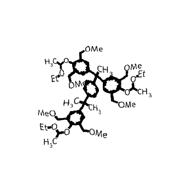 CCOC(C)Oc1c(COC)cc(C(C)(C)c2ccc(C(C)(c3cc(COC)c(OC(C)OCC)c(COC)c3)c3cc(COC)c(OC(C)OCC)c(COC)c3)cc2)cc1COC